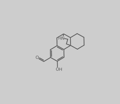 O=Cc1cc2c(cc1O)C13CCCCC1C(C2)NCC3